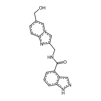 O=C(NCc1cn2cc(CO)ccc2n1)c1cccc2[nH]ncc12